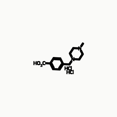 CN1CCN(Cc2ccc(C(=O)O)cc2)CC1.Cl.Cl